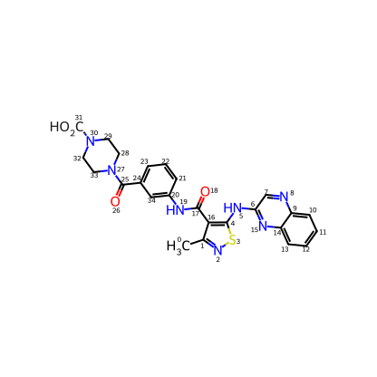 Cc1nsc(Nc2cnc3ccccc3n2)c1C(=O)Nc1cccc(C(=O)N2CCN(C(=O)O)CC2)c1